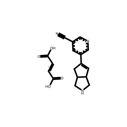 N#Cc1cncc(C2=CC3CNCC3C2)c1.O=C(O)/C=C/C(=O)O